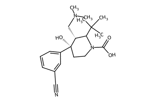 CN(C)C[C@@H]1C(C(C)(C)C)N(C(=O)O)CC[C@@]1(O)c1cccc(C#N)c1